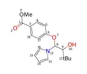 COC(=O)c1ccc(OC(C(O)C(C)(C)C)n2cccc2)cc1